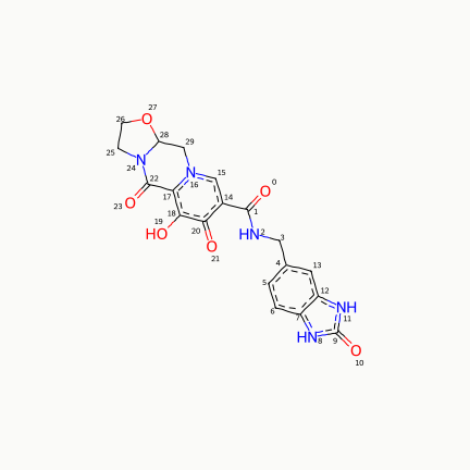 O=C(NCc1ccc2[nH]c(=O)[nH]c2c1)c1cn2c(c(O)c1=O)C(=O)N1CCOC1C2